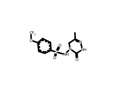 CC1=NNC(=O)N(NS(=O)(=O)c2ccc(OC(F)(F)F)cc2)C1